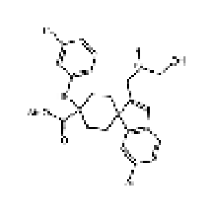 COC(=O)C1(Nc2cccc(Cl)c2)CCC2(CC1)C(C[C@@H](C)CO)=Cc1ccc(C(C)=O)cc12